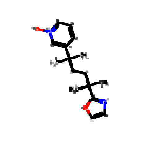 CC(C)(CCC(C)(C)c1ncco1)c1ccc[n+]([O-])c1